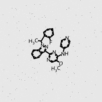 COc1cnc(-c2nn(C(C)c3ccccc3F)c3ccccc23)nc1Nc1ccncc1